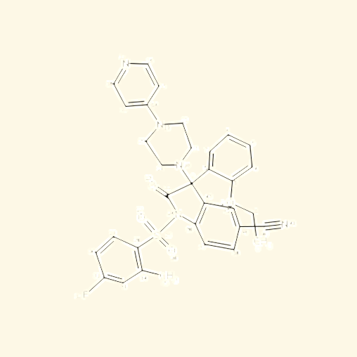 CCOc1ccccc1C1(N2CCN(c3ccncc3)CC2)C(=O)N(S(=O)(=O)c2ccc(F)cc2C)c2ccc(C#N)cc21